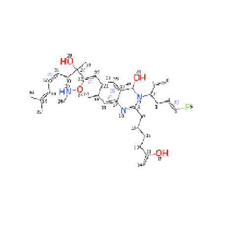 C=CC(C/C=C/F)N1C(CCCCC(=C)O)=NC(=C/C(C)C/C=C(\ONC)C(C)(O)C/C=C\C=C(C)C)/C(=C\C)C1O